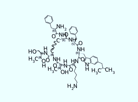 CC(C)Cc1ccc2c(C[C@H]3NC(=O)[C@H](Cc4ccccc4)NC(=O)[C@@H](NC(=O)[C@H](N)Cc4ccccc4)CSSC[C@@H](C(=O)N[C@H](CO)[C@@H](C)O)NC(=O)[C@H]([C@@H](C)O)NC(=O)[C@H](CCCCCN)NC3=O)c[nH]c2c1